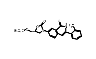 CCOC(=O)OC[C@H]1CN(c2ccc3cc(-c4ccccc4C(F)(F)F)[nH]c(=O)c3c2)C(=O)O1